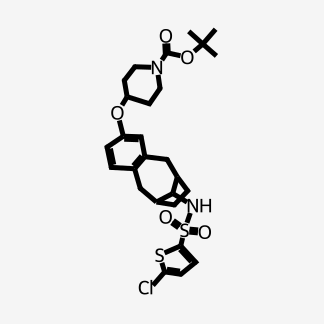 CC(C)(C)OC(=O)N1CCC(Oc2ccc3c(c2)CC2CCC(C3)C2NS(=O)(=O)c2ccc(Cl)s2)CC1